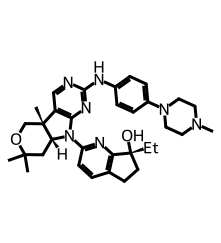 CC[C@@]1(O)CCc2ccc(N3c4nc(Nc5ccc(N6CCN(C)CC6)cc5)ncc4[C@@]4(C)COC(C)(C)C[C@@H]34)nc21